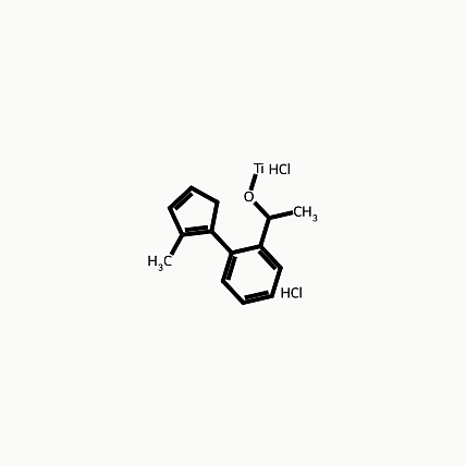 CC1=C(c2ccccc2C(C)[O][Ti])CC=C1.Cl.Cl